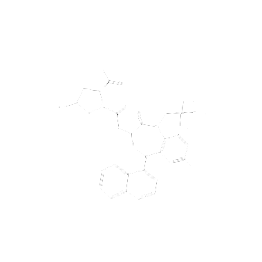 CC(C)(C)CN1C(=O)C(CC(=O)N2CC(O)C[C@H]2C(=O)O)OC(c2cccc3ccccc23)c2cc(Cl)ccc21